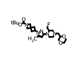 Cc1cc(N2CCN(CC3COCCO3)CC2CF)nn1C1CC2(C1)CN(C(=O)OC(C)(C)C)C2